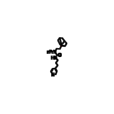 CCCN(CCC1=C2CC3CC(C2)CC1C3)C(=O)NCCCc1ccncc1